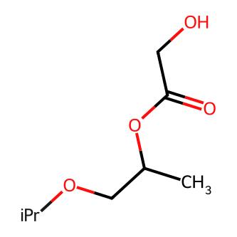 CC(C)OCC(C)OC(=O)CO